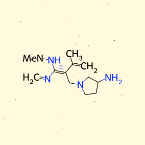 C=N/C(NNC)=C(\CN1CCC(N)C1)C(=C)C